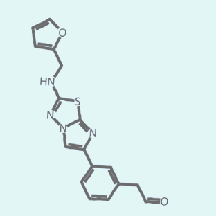 O=CCc1cccc(-c2cn3nc(NCc4ccco4)sc3n2)c1